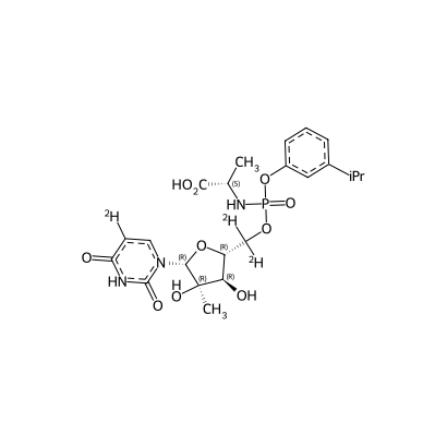 [2H]c1cn([C@@H]2O[C@H](C([2H])([2H])OP(=O)(N[C@@H](C)C(=O)O)Oc3cccc(C(C)C)c3)[C@@H](O)[C@@]2(C)O)c(=O)[nH]c1=O